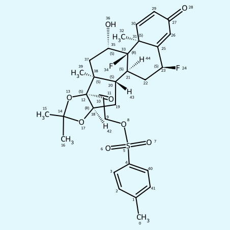 Cc1ccc(S(=O)(=O)OCC(=O)[C@@]23OC(C)(C)O[C@@H]2C[C@H]2[C@@H]4C[C@H](F)C5=CC(=O)C=C[C@]5(C)[C@@]4(F)[C@@H](O)C[C@@]23C)cc1